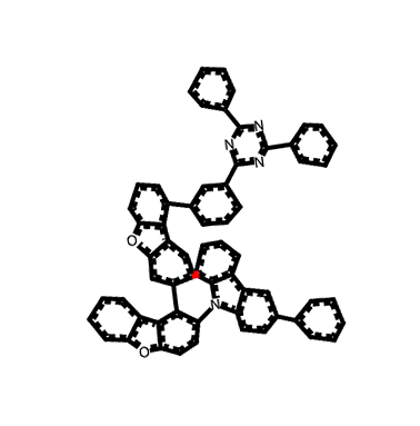 c1ccc(-c2ccc3c(c2)c2ccccc2n3-c2ccc3oc4ccccc4c3c2-c2ccc3c(c2)oc2cccc(-c4cccc(-c5nc(-c6ccccc6)nc(-c6ccccc6)n5)c4)c23)cc1